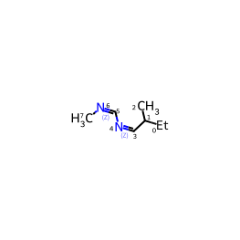 CCC(C)/C=N\C=N/C